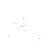 CCN(C(=O)CCCOC(=O)COC(C)=O)[C@H]1C[C@H](C)S(=O)(=O)c2sc(S(=O)(=O)NC(=O)CCCOC(=O)COC(C)=O)cc21